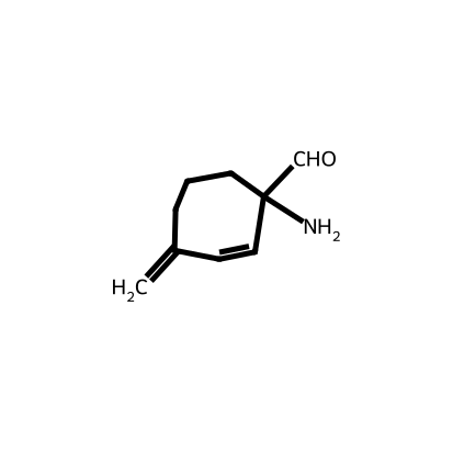 C=C1C=CC(N)(C=O)CCC1